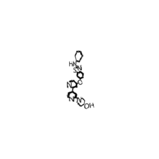 OC1CCN(c2cc(-c3cc(Oc4ccc5nc(NC6CCCCC6)sc5c4)ccn3)ccn2)CC1